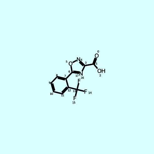 O=C(O)c1noc(-c2ccccc2C(F)(F)F)n1